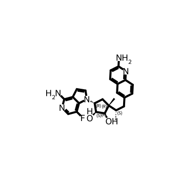 C[C@@H](Cc1ccc2nc(N)ccc2c1)[C@@]1(C)C[C@@H](n2ccc3c(N)ncc(F)c32)[C@H](O)[C@@H]1O